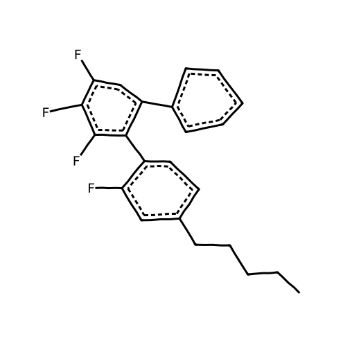 CCCCCc1ccc(-c2c(-c3ccccc3)cc(F)c(F)c2F)c(F)c1